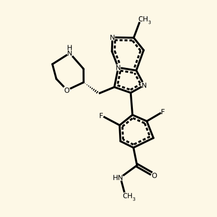 CNC(=O)c1cc(F)c(-c2nc3cc(C)ncn3c2C[C@H]2CNCCO2)c(F)c1